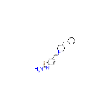 Nc1nc2ccc(CCN3CCC(Cc4ccccc4)CC3)cc2s1